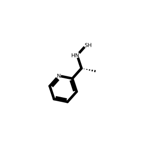 C[C@@H](NS)c1ccccn1